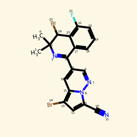 CC1(C)N=C(c2cnn3c(C#N)cc(Br)c3c2)c2cccc(F)c2C1Br